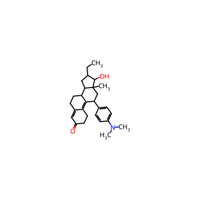 CCC1CC2C3CCC4=CC(=O)CCC4=C3C(c3ccc(N(C)C)cc3)CC2(C)C1O